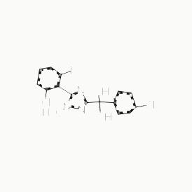 Cn1nc(C(C)(C)c2ccc(Cl)cc2)nc1-c1c(F)cccc1Cl